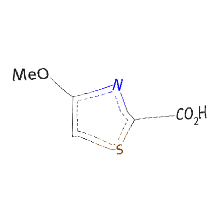 COc1csc(C(=O)O)n1